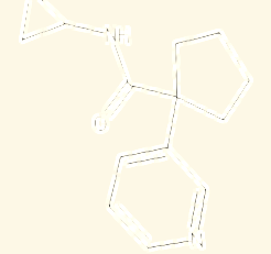 O=C(NC1CC1)C1(c2cccnc2)CCCC1